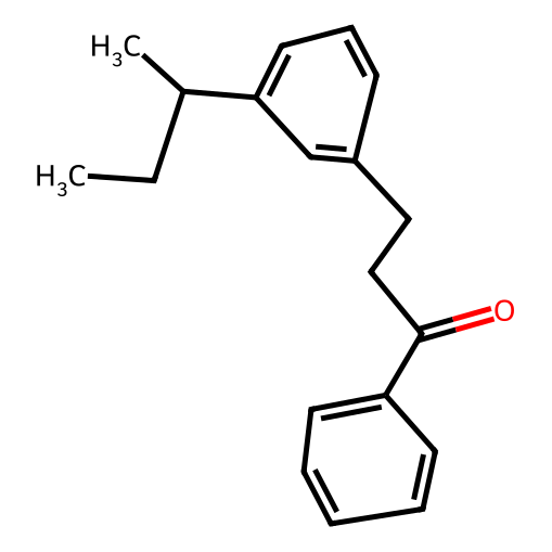 CCC(C)c1cccc(CCC(=O)c2ccccc2)c1